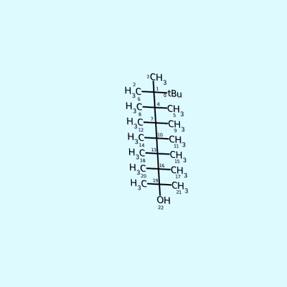 CC(C)(C)C(C)(C)C(C)(C)C(C)(C)C(C)(C)C(C)(C)C(C)(C)C(C)(C)O